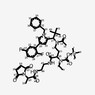 CCN(C(=O)O[Si](C)(C)C)C(CCN(C(C)=O)C(c1cc(-c2cc(F)ccc2F)cn1Cc1ccccc1)C(C)(C)C)C(=O)NCCNC(=O)C(C)N1C(=O)C=CC1=O